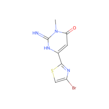 Cn1c(=O)cc(-c2nc(Br)cs2)[nH]c1=N